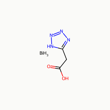 O=C(O)Cc1nnn[nH]1.[BiH3]